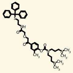 Cc1cc(C(=O)COCC(=O)NCCSC(c2ccccc2)(c2ccccc2)c2ccccc2)ccc1OC(=O)N(CCCN(C)C)CCCN(C)C